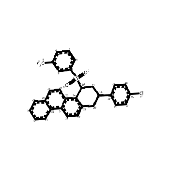 O=S(=O)(c1cccc(C(F)(F)F)c1)C1CC(c2ccc(Cl)cc2)Cc2ccc3c(ccc4ccccc43)c21